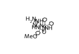 COc1ccc(C2=C(Nc3cnc(N)cn3)NC3=C(c4ccccc4)C(c4ccccc4)NN3C2=O)cc1